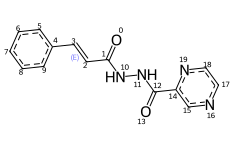 O=C(/C=C/c1ccccc1)NNC(=O)c1cnccn1